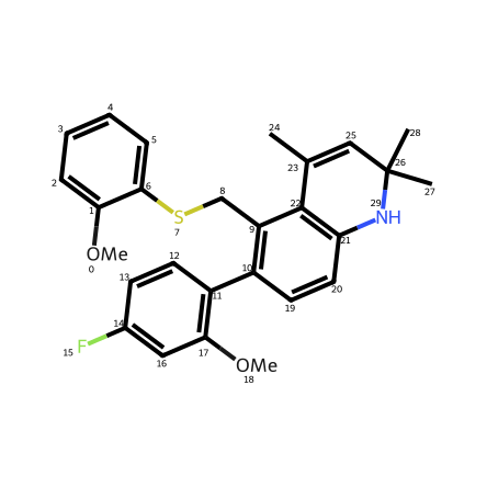 COc1ccccc1SCc1c(-c2ccc(F)cc2OC)ccc2c1C(C)=CC(C)(C)N2